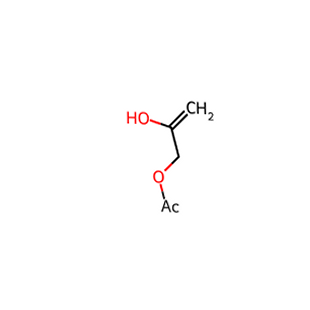 C=C(O)COC(C)=O